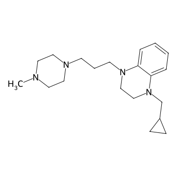 CN1CCN(CCCN2CCN(CC3CC3)c3ccccc32)CC1